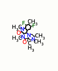 CCC12CN(C)C(C)CN1c1c(c(=O)n(C)c3c(F)c(C)c(F)cc13)N(C)C2=O